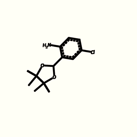 CC1(C)OC(c2cc(Cl)ccc2N)OC1(C)C